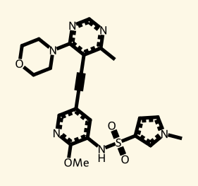 COc1ncc(C#Cc2c(C)ncnc2N2CCOCC2)cc1NS(=O)(=O)c1ccn(C)c1